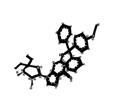 CCC1(CC)O[C@@H](n2cnc3c(=O)[nH]c(NC(c4ccccc4)(c4ccccc4)c4ccc(OC)cc4)nc32)[C@H](F)[C@@H]1C